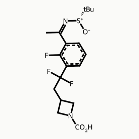 C/C(=N/[S@@+]([O-])C(C)(C)C)c1cccc(C(F)(F)CC2CN(C(=O)O)C2)c1F